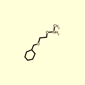 C[SiH2]OCCOCC1CCCCC1